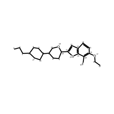 CCCC1CCC(C2CCC(c3cc4ccc(OCC)c(F)c4s3)OC2)CC1